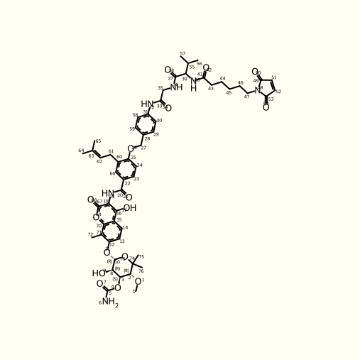 CO[C@@H]1[C@@H](OC(N)=O)[C@@H](O)[C@H](Oc2ccc3c(O)c(NC(=O)c4ccc(OCc5ccc(NC(=O)CNC(=O)C(NC(=O)CCCCCN6C(=O)C=CC6=O)C(C)C)cc5)c(CC=C(C)C)c4)c(=O)oc3c2C)OC1(C)C